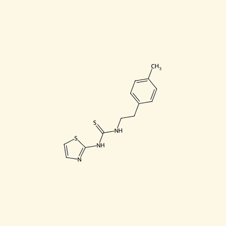 Cc1ccc(CCNC(=S)Nc2nccs2)cc1